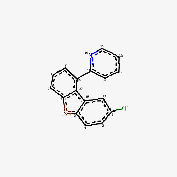 Clc1ccc2sc3cccc(-c4ccccn4)c3c2c1